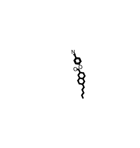 CCCCCC1CCC2CC(C(=O)Oc3ccc(C#N)cc3)CCC2C1